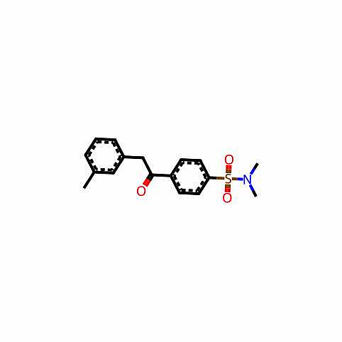 Cc1cccc(CC(=O)c2ccc(S(=O)(=O)N(C)C)cc2)c1